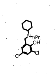 CCCN(Cc1cc(Cl)cc(Cl)c1O)C1CCCCC1